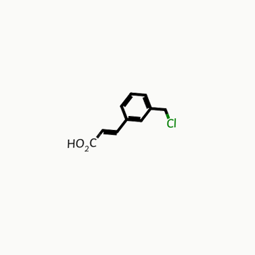 O=C(O)/C=C/c1cccc(CCl)c1